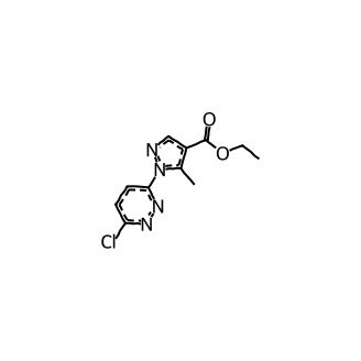 CCOC(=O)c1cnn(-c2ccc(Cl)nn2)c1C